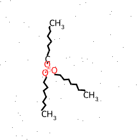 CCCCCCCCCOB(OCCCCCCCCC)OCCCCCCCCC